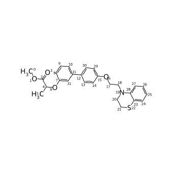 COC(=O)C(C)Oc1cccc(-c2ccc(OCCN3CCSc4ccccc43)cc2)c1